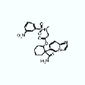 CN(CC(=O)OC1CCCCC1(C(N)=S)c1ccc2nccn2c1)S(=O)(=O)c1cccc([N+](=O)[O-])c1